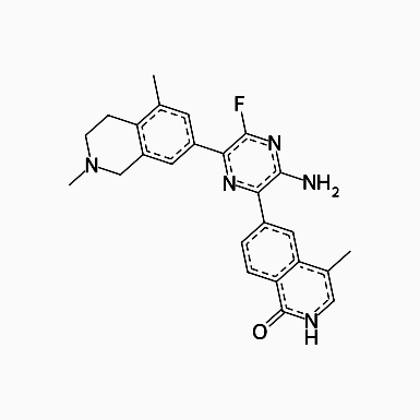 Cc1cc(-c2nc(-c3ccc4c(=O)[nH]cc(C)c4c3)c(N)nc2F)cc2c1CCN(C)C2